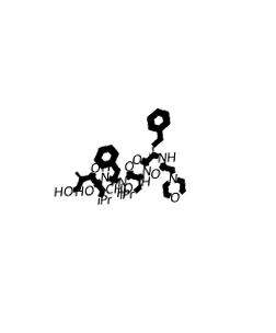 CC(C)C[C@H](NC(=O)[C@H](CCc1ccccc1)NC(=O)CN1CCOCC1)C(=O)N[C@](C=O)(Cc1ccccc1)N[C@](O)(CC(C)C)C(=O)[C@H](C)CO